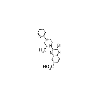 CC1CN(c2ccccn2)CCN1c1nc2cc(C(=O)O)ccc2nc1Br